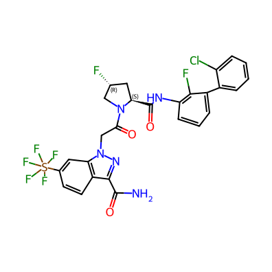 NC(=O)c1nn(CC(=O)N2C[C@H](F)C[C@H]2C(=O)Nc2cccc(-c3ccccc3Cl)c2F)c2cc(S(F)(F)(F)(F)F)ccc12